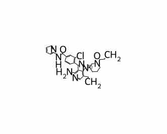 C=CC(=O)N1CCC[C@@H](n2nc(-c3ccc(C(=O)Nc4ccccn4)cc3Cl)c3c(N)ncc(C=C)c32)C1